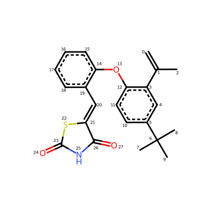 C=C(C)c1cc(C(C)(C)C)ccc1Oc1ccccc1/C=C1\SC(=O)NC1=O